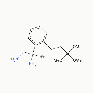 CCC(N)(CN)c1ccccc1CC[Si](OC)(OC)OC